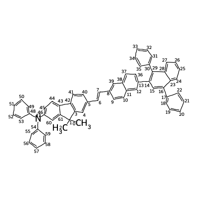 CC1(C)c2cc(/C=C/c3ccc4cc(-c5cc(-c6ccccc6)c6ccccc6c5-c5ccccc5)ccc4c3)ccc2-c2ccc(N(c3ccccc3)c3ccccc3)cc21